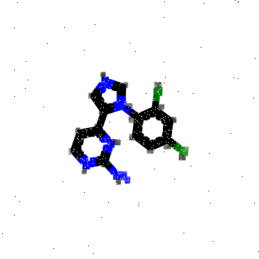 Nc1nccc(-c2cncn2-c2ccc(Cl)cc2Cl)n1